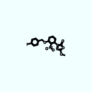 COc1nn(-c2cccc(OCc3ccc(F)cc3)c2[N+](=O)[O-])c(=O)o1